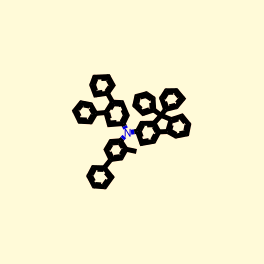 Cc1cc(-c2ccccc2)ccc1N(c1ccc(-c2ccccc2)c(-c2ccccc2)c1)c1ccc2c(c1)C(c1ccccc1)(c1ccccc1)c1ccccc1-2